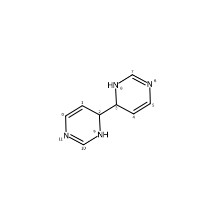 C1=CC(C2C=CN=CN2)NC=N1